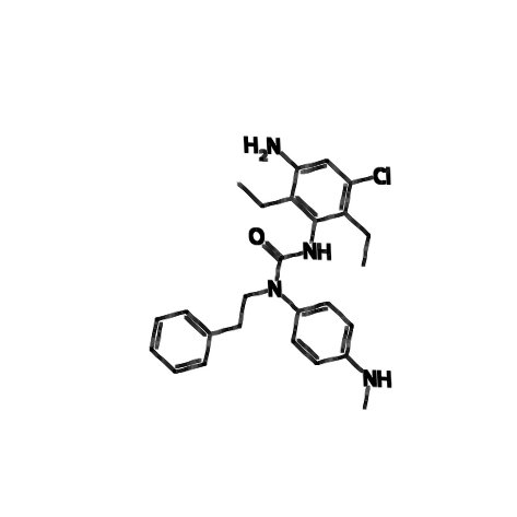 CCc1c(N)cc(Cl)c(CC)c1NC(=O)N(CCc1ccccc1)c1ccc(NC)cc1